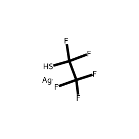 FC(F)(F)C(F)(F)S.[Ag]